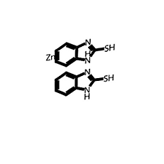 Sc1nc2ccccc2[nH]1.Sc1nc2ccccc2[nH]1.[Zn]